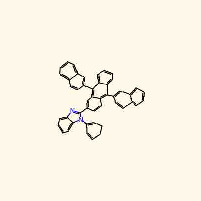 C1=CC(n2c(-c3ccc4c(-c5ccc6ccccc6c5)c5ccccc5c(-c5ccc6ccccc6c5)c4c3)nc3ccccc32)=CCC1